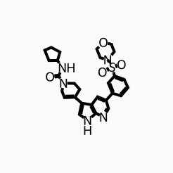 O=C(NC1CCCC1)N1CC=C(c2c[nH]c3ncc(-c4cccc(S(=O)(=O)N5CCOCC5)c4)cc23)CC1